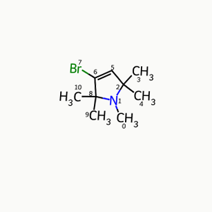 CN1C(C)(C)C=C(Br)C1(C)C